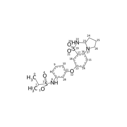 CC(C)S(=O)(=O)Nc1cccc(Oc2ccc3c(c2)S(=O)(=O)NC2CCCN32)c1